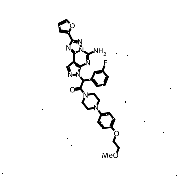 COCCOc1ccc(N2CCN(C(=O)C(c3cccc(F)c3)n3ncc4c3nc(N)n3nc(-c5ccco5)nc43)CC2)cc1